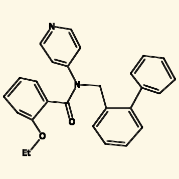 CCOc1ccccc1C(=O)N(Cc1ccccc1-c1ccccc1)c1ccncc1